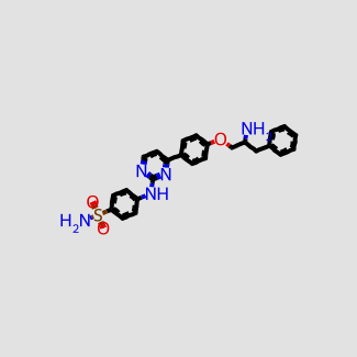 NC(COc1ccc(-c2ccnc(Nc3ccc(S(N)(=O)=O)cc3)n2)cc1)Cc1ccccc1